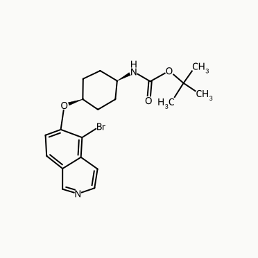 CC(C)(C)OC(=O)N[C@H]1CC[C@@H](Oc2ccc3cnccc3c2Br)CC1